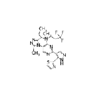 CC[C@]1(C)c2nnc(C)n2-c2cnc(-c3cn[nH]c3-c3nccs3)nc2N1CCC(F)(F)F